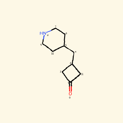 O=C1CC(CC2CCNCC2)C1